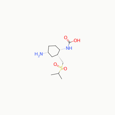 CC(C)S(=O)(=O)C[C@@H]1C[C@H](N)CC[C@@H]1NC(=O)O